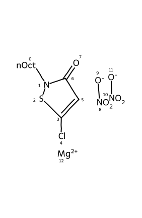 CCCCCCCCn1sc(Cl)cc1=O.O=[N+]([O-])[O-].O=[N+]([O-])[O-].[Mg+2]